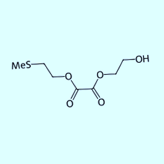 CSCCOC(=O)C(=O)OCCO